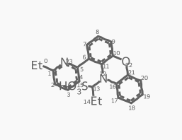 CCc1cccc(-c2cccc3c2N(C(CC)S(=O)(=O)O)c2ccccc2O3)n1